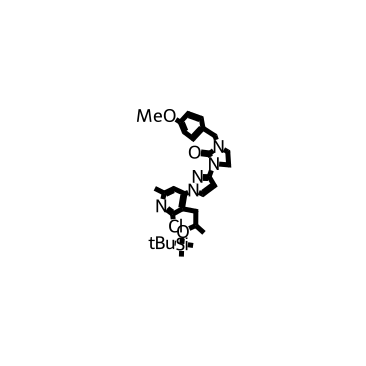 COc1ccc(CN2CCN(c3ccn(-c4cc(C)nc(Cl)c4CC(C)O[Si](C)(C)C(C)(C)C)n3)C2=O)cc1